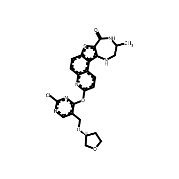 CC1CNc2c(sc3ccc4nc(Oc5nc(Cl)ncc5CO[C@H]5CCOC5)ccc4c23)C(=O)N1